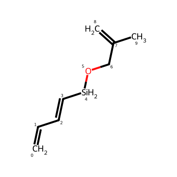 C=CC=C[SiH2]OCC(=C)C